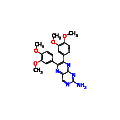 COc1ccc(-c2nc3cnc(N)nc3nc2-c2ccc(OC)c(OC)c2)cc1OC